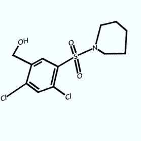 O=S(=O)(c1cc(CO)c(Cl)cc1Cl)N1CCCCC1